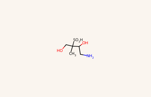 CC(CO)(C(O)CN)S(=O)(=O)O